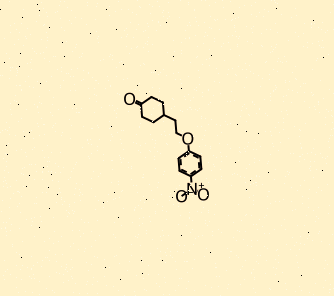 O=C1CCC(CCOc2ccc([N+](=O)[O-])cc2)CC1